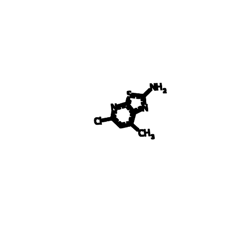 Cc1cc(Cl)nc2sc(N)nc12